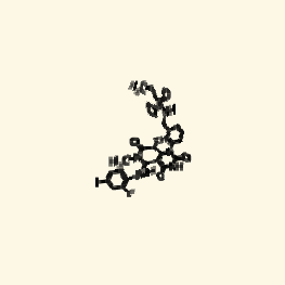 CCS(=O)(=O)NCc1cccc(-n2c3c(c(=O)[nH]c2=O)C(Nc2ccc(I)cc2F)N(C)C(=O)C3C)c1